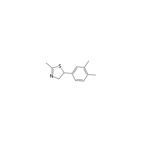 CC1=NCC(c2ccc(C)c(C)c2)S1